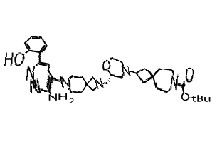 CC(C)(C)OC(=O)N1CCC2(CC1)CC(N1CCO[C@@H](CN3CC4(CCN(c5cc(-c6ccccc6O)nnc5N)CC4)C3)C1)C2